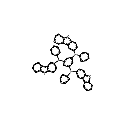 c1ccc(N(c2cc(N(c3ccccc3)c3ccc4oc5ccccc5c4c3)cc(N(c3ccccc3)c3ccc4sc5ccccc5c4c3)c2)c2ccc3oc4ccccc4c3c2)cc1